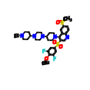 CCN1CCC(N2CCN(C3CCN(c4c(S(=O)(=O)c5cc(F)c(OC(C)(C)C)c(F)c5)cnc5ccc([S+](C)[O-])cc45)CC3)CC2)CC1